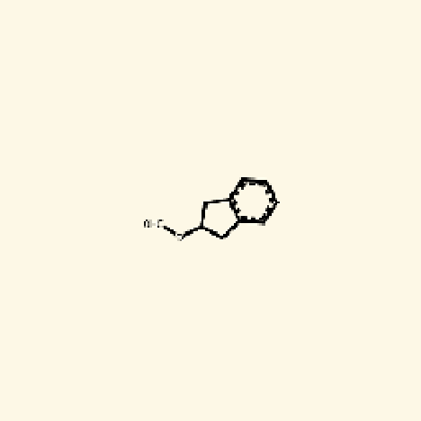 O=COC1Cc2ccccc2C1